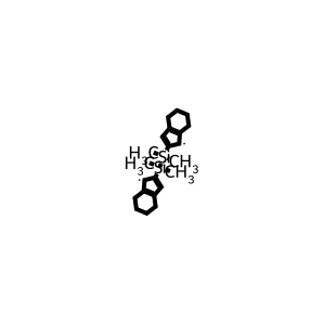 C[Si](C)(C1=CC2=C([CH]1)CCCC2)[Si](C)(C)C1=CC2=C([CH]1)CCCC2